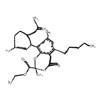 C=C(C)C1CCC(C)=CC1c1c(O)cc(CCCCC)c2c1OC(C)(C(=O)OCC)OC2=O